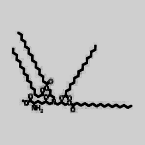 CCCCCCCCCCCCCCCC(=O)OCC(CN(CCCCC(N)C(=O)OC)CC(COC(=O)CCCCCCCCCCCCCCC)OC(=O)CCCCCCCCCCCCCCC)OC(=O)CCCCCCCCCCCCCCC